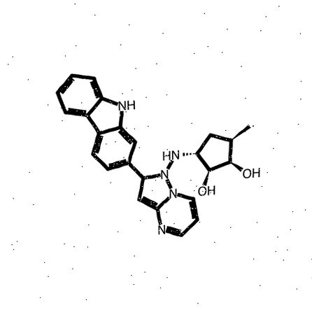 [CH2][C@@H]1C[C@@H](NN2C(c3ccc4c(c3)[nH]c3ccccc34)C=C3N=CC=CN32)[C@H](O)[C@@H]1O